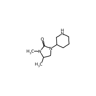 CC1CN(C2CCCNC2)C(=O)N1C